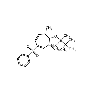 C[C@H]1C=CC(S(=O)(=O)c2ccccc2)=C[C@H](C)[C@H]1O[Si](C)(C)C(C)(C)C